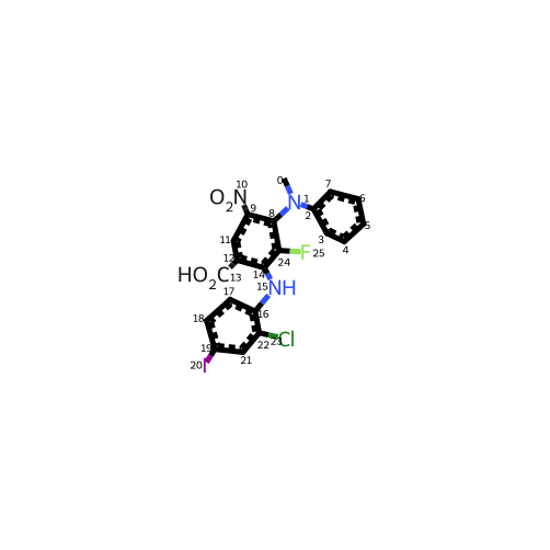 CN(c1ccccc1)c1c([N+](=O)[O-])cc(C(=O)O)c(Nc2ccc(I)cc2Cl)c1F